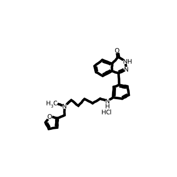 CN(CCCCCNc1cccc(-c2n[nH]c(=O)c3ccccc23)c1)Cc1ccco1.Cl